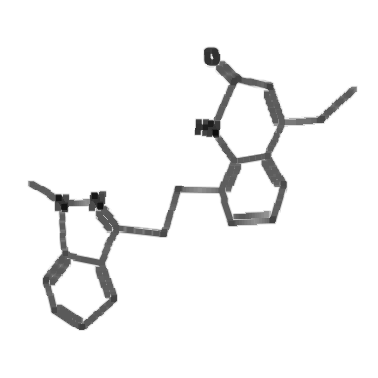 CCc1cc(=O)[nH]c2c(CCc3nn(C)c4ccccc34)cccc12